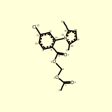 CC(=O)OCOC(=O)c1ccc(Cl)cc1-n1c(C)ccc1C